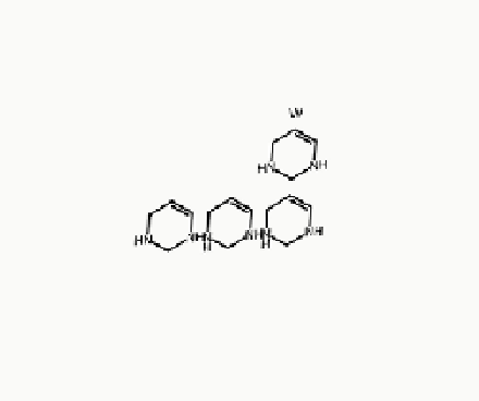 C1=CNCNC1.C1=CNCNC1.C1=CNCNC1.C1=CNCNC1.[W]